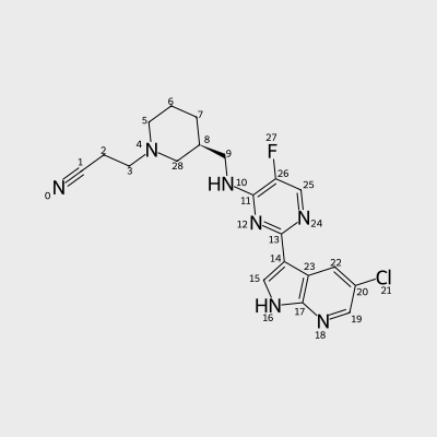 N#CCCN1CCC[C@@H](CNc2nc(-c3c[nH]c4ncc(Cl)cc34)ncc2F)C1